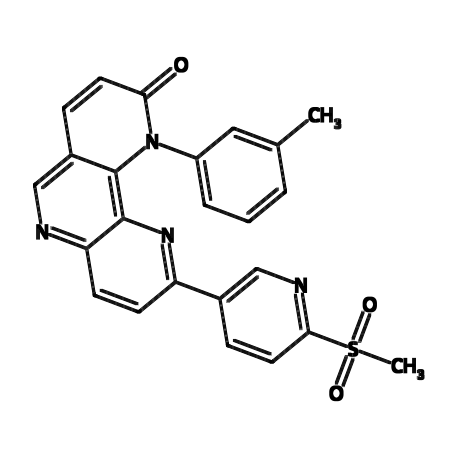 Cc1cccc(-n2c(=O)ccc3cnc4ccc(-c5ccc(S(C)(=O)=O)nc5)nc4c32)c1